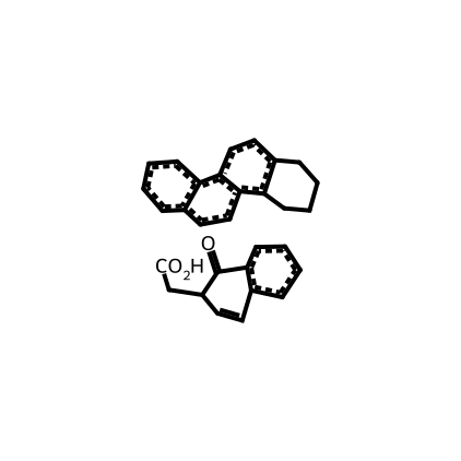 O=C(O)CC1C=Cc2ccccc2C1=O.c1ccc2c(c1)ccc1c3c(ccc12)CCCC3